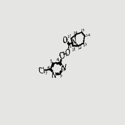 O=C(OOc1cc(Cl)ncn1)N1C2CCCC1CC2